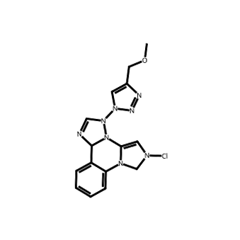 COCc1cn(N2C=NC3c4ccccc4N4CN(Cl)C=C4N32)nn1